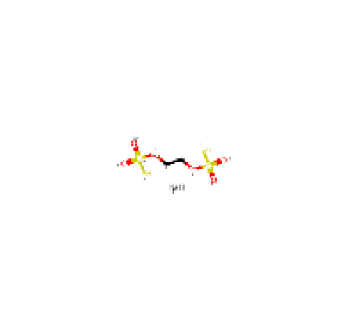 O=S(=O)(S)OCCOS(=O)(=O)S.[NaH]